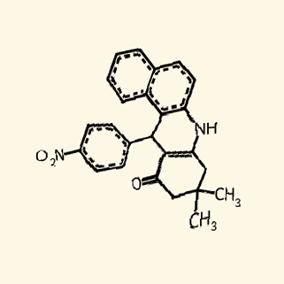 CC1(C)CC(=O)C2=C(C1)Nc1ccc3ccccc3c1C2c1ccc([N+](=O)[O-])cc1